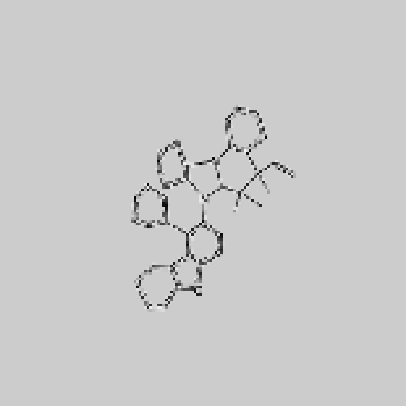 C=CC1(C)c2ccccc2N2c3ccccc3N(c3ccc4oc5ccccc5c4c3-c3ccccc3)C2C1(C)C